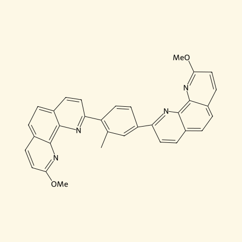 COc1ccc2ccc3ccc(-c4ccc(-c5ccc6ccc7ccc(OC)nc7c6n5)c(C)c4)nc3c2n1